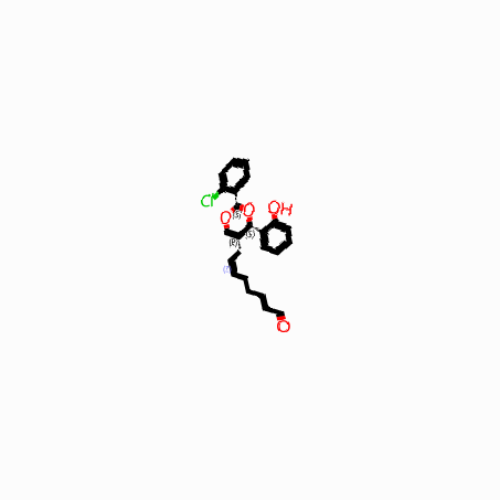 O=CCCCC/C=C\C[C@@H]1CO[C@H](c2ccccc2Cl)O[C@@H]1c1ccccc1O